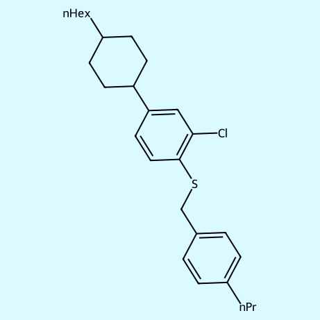 CCCCCCC1CCC(c2ccc(SCc3ccc(CCC)cc3)c(Cl)c2)CC1